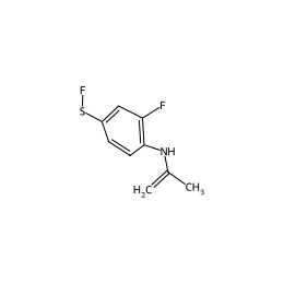 C=C(C)Nc1ccc(SF)cc1F